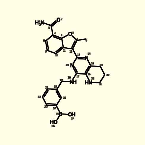 Cc1oc2c(C(N)=O)cccc2c1-c1nc2c(c(NCc3cccc(B(O)O)c3)n1)NCCC2